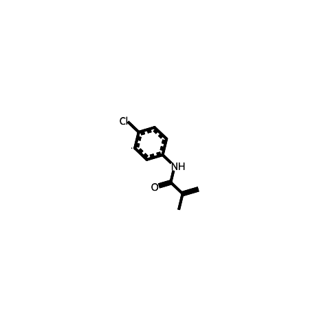 C=C(C)C(=O)Nc1c[c]c(Cl)cc1